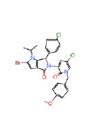 COc1ccc(Cn2cc(Cl)cc(N3C(=O)c4cc(Br)n(C(C)C)c4C3c3ccc(Cl)cc3)c2=O)cc1